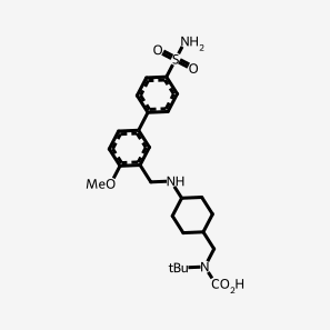 COc1ccc(-c2ccc(S(N)(=O)=O)cc2)cc1CNC1CCC(CN(C(=O)O)C(C)(C)C)CC1